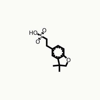 CC1(C)COc2ccc(CCS(=O)(=O)O)cc21